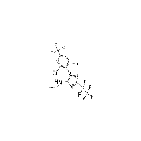 CCNc1nc(C(F)(F)C(F)(F)F)nn1-c1c(Cl)cc(C(F)(F)F)cc1Cl